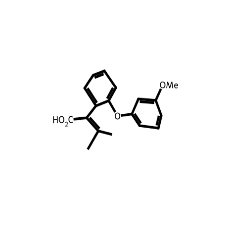 COc1cccc(Oc2ccccc2C(C(=O)O)=C(C)C)c1